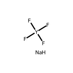 [F][Y]([F])([F])[F].[NaH]